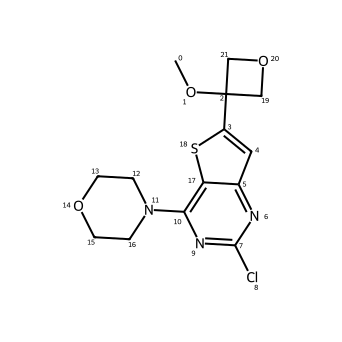 COC1(c2cc3nc(Cl)nc(N4CCOCC4)c3s2)COC1